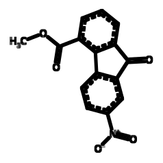 COC(=O)c1cccc2c1-c1ccc([N+](=O)[O-])cc1C2=O